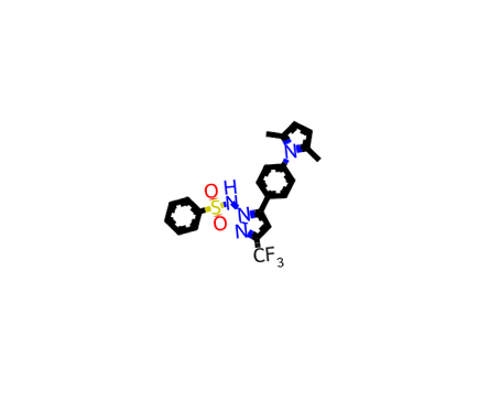 Cc1ccc(C)n1-c1ccc(-c2cc(C(F)(F)F)nn2NS(=O)(=O)c2ccccc2)cc1